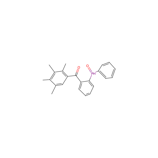 Cc1cc(C(=O)c2ccccc2[PH](=O)c2ccccc2)c(C)c(C)c1C